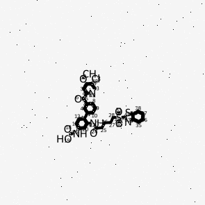 COc1cc(C(=O)c2cccc(-c3ccc(NC(=O)O)cc3NC(=O)CCCCS(=O)(=O)c3nc4ccccc4s3)c2)ncc1Cl